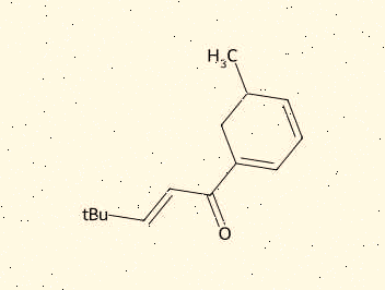 CC1C=CC=C(C(=O)/C=C/C(C)(C)C)C1